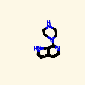 c1cc2cc[nH]c2c(N2CCNCC2)n1